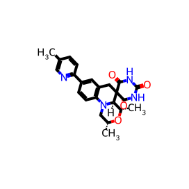 Cc1ccc(-c2ccc3c(c2)CC2(C(=O)NC(=O)NC2=O)[C@H]2[C@H](C)O[C@H](C)CN32)nc1